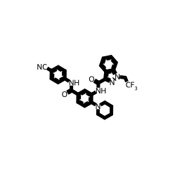 N#Cc1ccc(NC(=O)c2ccc(N3CCCCC3)c(NC(=O)c3nn(CC(F)(F)F)c4ccccc34)c2)cc1